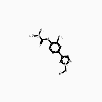 Cc1cc(-c2cnn(CC(C)C)c2)ccc1OC(=S)N(C)C